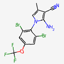 Cc1cn(-c2c(Br)cc(OC(F)(F)F)cc2Br)c(N)c1C#N